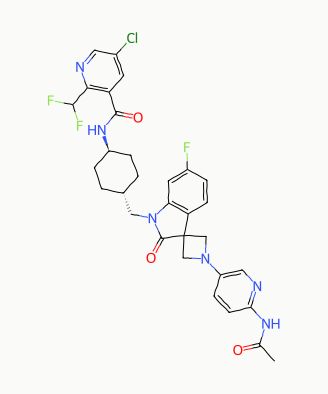 CC(=O)Nc1ccc(N2CC3(C2)C(=O)N(C[C@H]2CC[C@H](NC(=O)c4cc(Cl)cnc4C(F)F)CC2)c2cc(F)ccc23)cn1